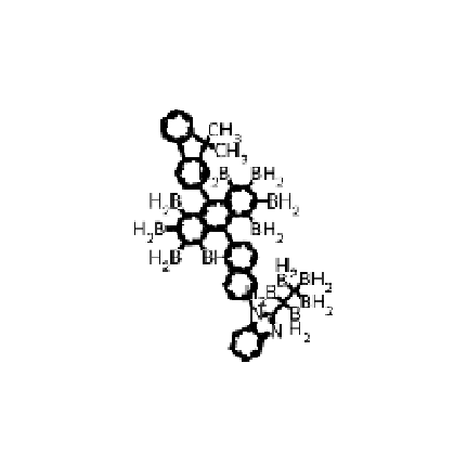 Bc1c(B)c(B)c2c(-c3ccc4cc(-n5c(C(B)(B)C(B)(B)B)nc6ccccc65)ccc4c3)c3c(B)c(B)c(B)c(B)c3c(-c3ccc4c(c3)C(C)(C)c3ccccc3-4)c2c1B